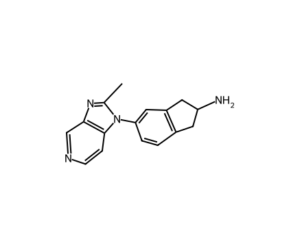 Cc1nc2cnccc2n1-c1ccc2c(c1)CC(N)C2